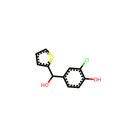 Oc1ccc(C(O)c2cccs2)cc1Cl